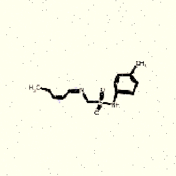 CC/C=C\C=N/CS(=O)(=O)Nc1ccc(C)cc1